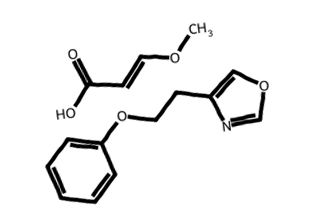 COC=CC(=O)O.c1ccc(OCCc2cocn2)cc1